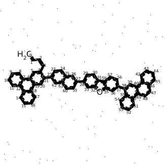 C=C/C=C\c1cc2c3ccccc3c3ccccc3c2cc1-c1ccc2cc(-c3ccc4c(c3)oc3cc(-c5cc6c7ccccc7ccc6c6ccccc56)ccc34)ccc2c1